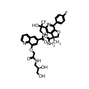 C[C@]1(C(N)=O)COc2c1cc(C(O)(CNC(=O)c1cc(OCC(=O)NC[C@@H](O)CO)c3ncccc3c1)C(F)(F)F)nc2-c1ccc(F)cc1